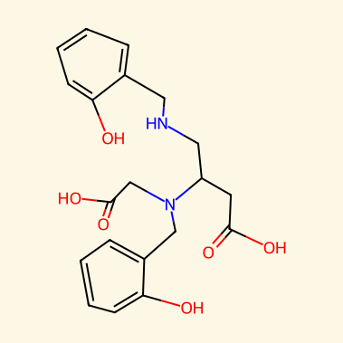 O=C(O)CC(CNCc1ccccc1O)N(CC(=O)O)Cc1ccccc1O